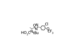 CC(c1nc(-c2ccc(OC(F)(F)F)c(Cl)c2)no1)N(C(=O)O)C(C)(C)C